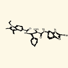 CCn1c(C)c(C)c2cc(C(=O)NC(c3ccccc3)C(O)C(=O)Nc3ccc4nc(N)[nH]c4c3)ccc21